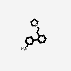 Nc1cccc(-c2ccccc2CCN2CCCC2)c1